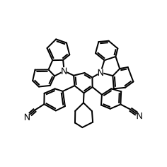 N#Cc1ccc(-c2c(-n3c4ccccc4c4ccccc43)cc(-n3c4ccccc4c4ccccc43)c(-c3ccc(C#N)cc3)c2C2CCCCC2)cc1